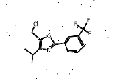 CC(C)c1nc(-c2cccc(C(F)(F)F)c2)sc1CCl